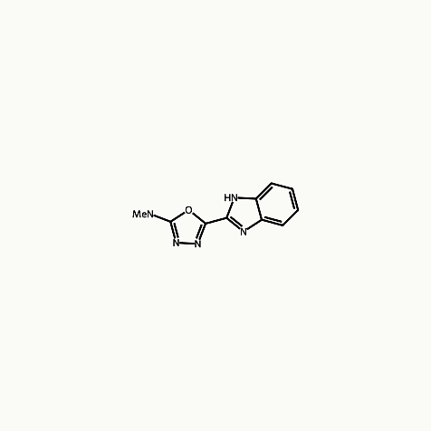 CNc1nnc(-c2nc3ccccc3[nH]2)o1